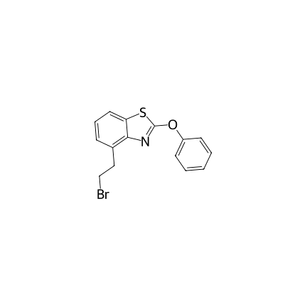 BrCCc1cccc2sc(Oc3ccccc3)nc12